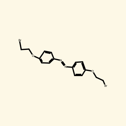 BrCCOc1ccc(/N=N/c2ccc(OCCBr)cc2)cc1